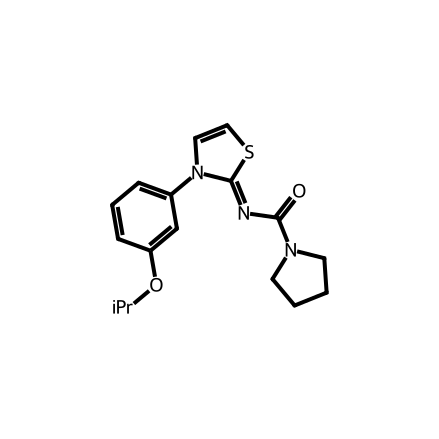 CC(C)Oc1cccc(-n2ccs/c2=N\C(=O)N2CCCC2)c1